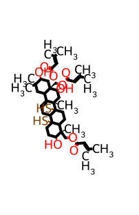 CC(C)=CC(=O)OC[C@@]12C(CC(C)(C)[C@@H](O)[C@@H]1OC(=O)C=C(C)C)C1=CCC3[C@@]4(S)CC[C@H](O)[C@](C)(COC(=O)C=C(C)C)C4CC[C@@]3(S)[C@]1(C)C[C@H]2O